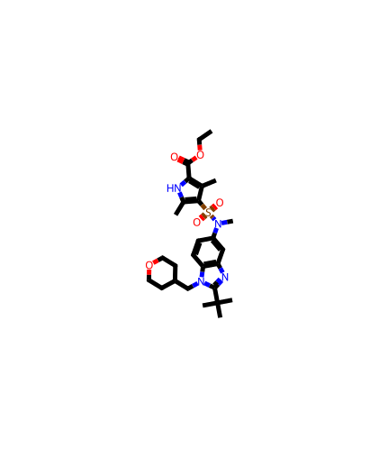 CCOC(=O)c1[nH]c(C)c(S(=O)(=O)N(C)c2ccc3c(c2)nc(C(C)(C)C)n3CC2CCOCC2)c1C